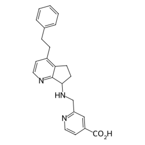 O=C(O)c1ccnc(CNC2CCc3c(CCc4ccccc4)ccnc32)c1